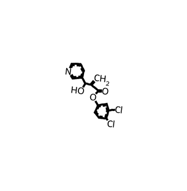 C=C(C(=O)Oc1ccc(Cl)c(Cl)c1)C(O)c1cccnc1